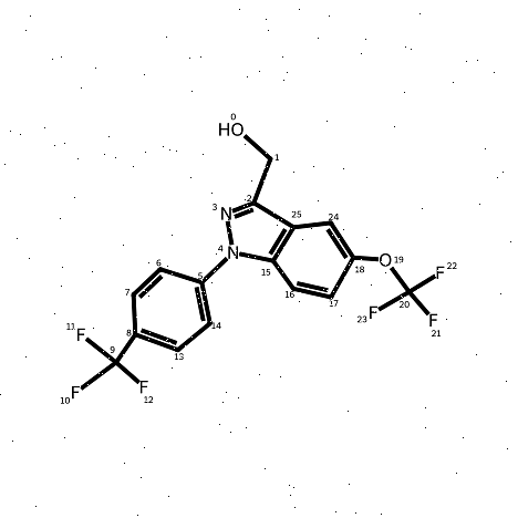 OCc1nn(-c2ccc(C(F)(F)F)cc2)c2ccc(OC(F)(F)F)cc12